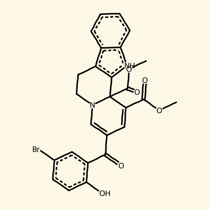 COC(=O)C1=CC(C(=O)c2cc(Br)ccc2O)=CN2CCc3c([nH]c4ccccc34)C12C(=O)OC